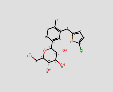 CC1=C(Cc2ccc(Cl)s2)C=C(C2OC(CO)[C@@H](O)C(O)[C@H]2O)CC1